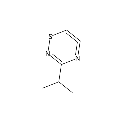 CC(C)C1=NSC=C=N1